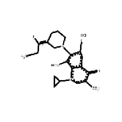 COc1c(N2CCC/C(=C(\F)CN)C2)c(F)cc2c(=O)c(C(=O)O)cn(C3CC3)c12.Cl